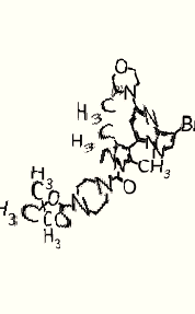 Cc1nn(C(=O)N2CCN(C(=O)OC(C)(C)C)CC2)c(C)c1-c1cc(N2CCOC[C@H]2C)nc2c(Br)cnn12